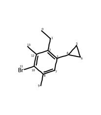 CCc1c(C2CC2)cc(C)c(Br)c1C